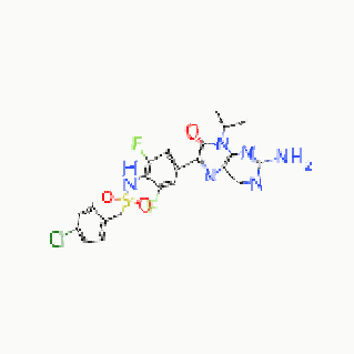 CC(C)n1c(=O)c(-c2cc(F)c(NS(=O)(=O)Cc3ccc(Cl)cc3)c(F)c2)nc2cnc(N)nc21